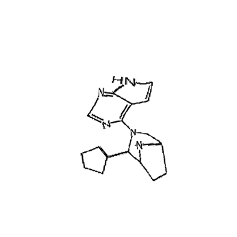 c1nc(N2CC3CCC([N]3)C2C2CCCC2)c2cc[nH]c2n1